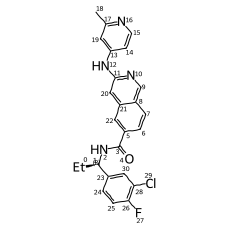 CC[C@@H](NC(=O)c1ccc2cnc(Nc3ccnc(C)c3)cc2c1)c1ccc(F)c(Cl)c1